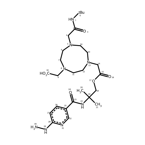 CC(C)(C)NC(=O)CN1CCN(CC(=O)O)CCN(CC(=O)OCC(C)(C)NC(=O)c2ccc(NN)nc2)CC1